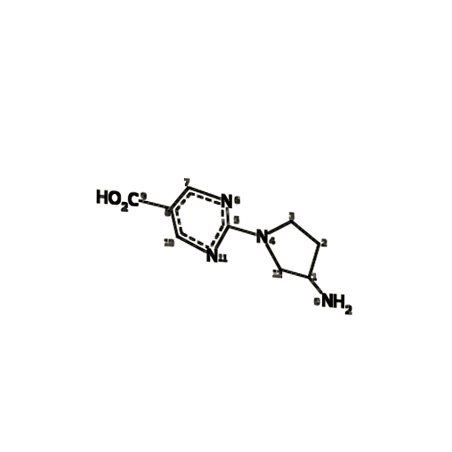 NC1CCN(c2ncc(C(=O)O)cn2)C1